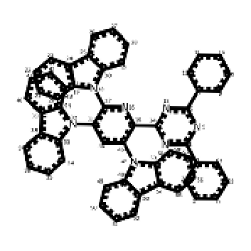 c1ccc(-c2nc(-c3ccccc3)nc(-c3nc(-n4c5ccccc5c5ccccc54)c(-n4c5ccccc5c5ccccc54)cc3-n3c4ccccc4c4ccccc43)n2)cc1